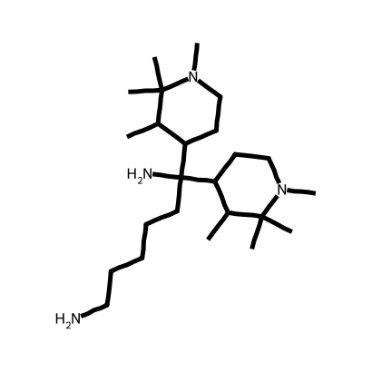 CC1C(C(N)(CCCCCN)C2CCN(C)C(C)(C)C2C)CCN(C)C1(C)C